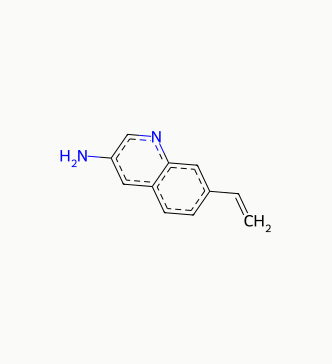 C=Cc1ccc2cc(N)cnc2c1